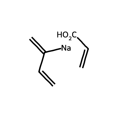 C=CC(=O)O.C=C[C](=C)[Na]